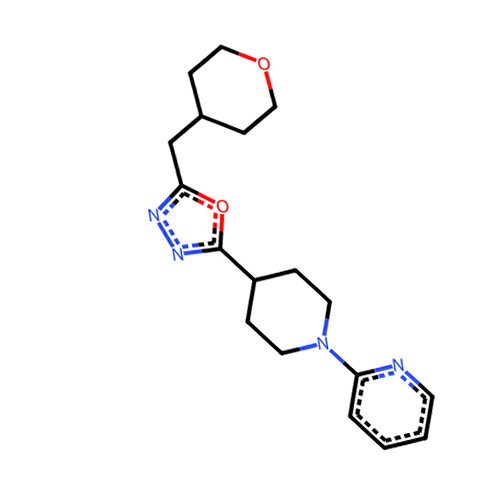 c1ccc(N2CCC(c3nnc(CC4CCOCC4)o3)CC2)nc1